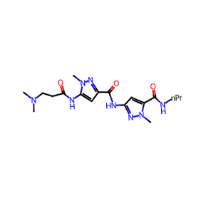 CCCNC(=O)c1cc(NC(=O)c2cc(NC(=O)CCN(C)C)n(C)n2)nn1C